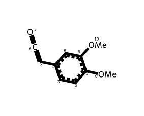 COc1ccc(C=C=O)cc1OC